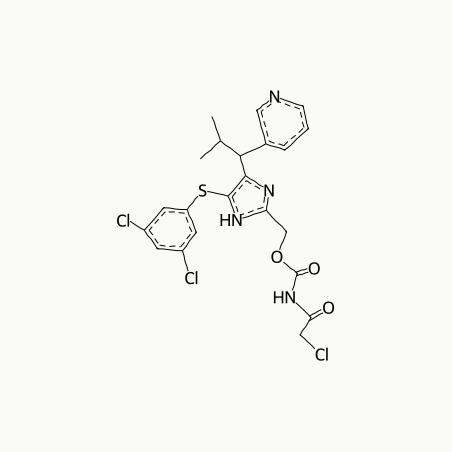 CC(C)C(c1cccnc1)c1nc(COC(=O)NC(=O)CCl)[nH]c1Sc1cc(Cl)cc(Cl)c1